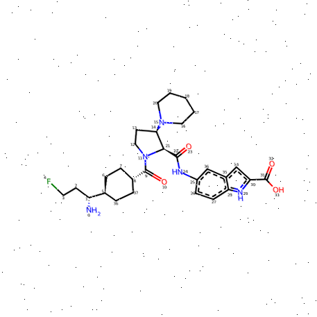 N[C@H](CCF)[C@H]1CC[C@H](C(=O)N2CC[C@@H](N3CCCCC3)[C@H]2C(=O)Nc2ccc3[nH]c(C(=O)O)cc3c2)CC1